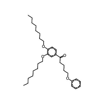 CCCCCCCCOc1ccc(C(=O)CCCCOc2ccccc2)cc1OCCCCCCCC